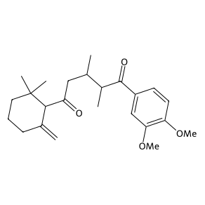 C=C1CCCC(C)(C)C1C(=O)CC(C)C(C)C(=O)c1ccc(OC)c(OC)c1